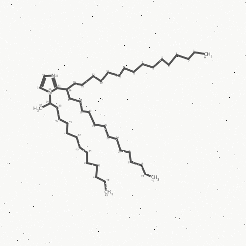 CCCCCCCCCCCCCCCCC(CCCCCCCCCCCCCC)c1nccn1C(C)CCCCCCCCCCCC